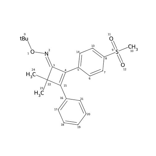 CC(C)(C)ON=C1C(c2ccc(S(C)(=O)=O)cc2)=C(c2ccccc2)C1(C)C